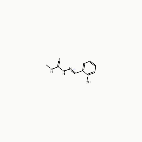 CNC(=S)N/N=C/c1ccccc1O